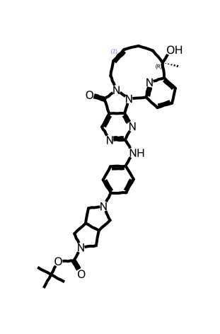 CC(C)(C)OC(=O)N1CC2CN(c3ccc(Nc4ncc5c(=O)n6n(c5n4)-c4cccc(n4)[C@](C)(O)CC/C=C\C6)cc3)CC2C1